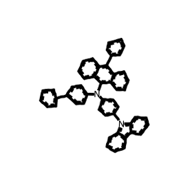 c1ccc(-c2ccc(N(c3ccc(-n4c5ccccc5c5ccccc54)cc3)c3c4ccccc4c(-c4ccccc4)c4ccccc34)cc2)cc1